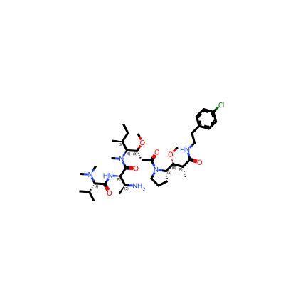 CC[C@H](C)[C@@H]([C@@H](CC(=O)N1CCC[C@H]1[C@H](OC)[C@@H](C)C(=O)NCCc1ccc(Cl)cc1)OC)N(C)C(=O)[C@H](NC(=O)[C@H](C(C)C)N(C)C)[C@H](C)N